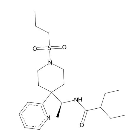 CCCS(=O)(=O)N1CCC(c2ccccn2)([C@H](C)NC(=O)C(CC)CC)CC1